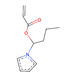 C=CC(=O)OC(CCC)n1cccc1